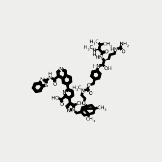 CN[C@H](C(=O)N[C@@H](CCCNC(N)=O)C(O)Nc1ccc(COC(=O)N(C)CCOC23CC4(C)CC(C)(CC(Cn5ncc(-c6ccc(-c7ccc8cncc(C(=O)Nc9nc%10ccccc%10s9)c8c7)nc6C(=O)O)c5C)(C4)C2)C3)cc1)C(C)C